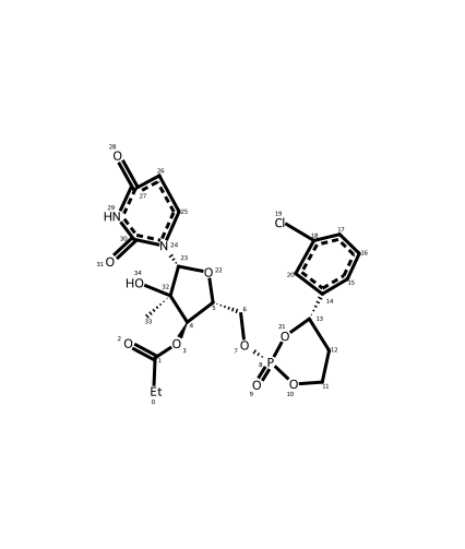 CCC(=O)O[C@@H]1[C@@H](CO[P@@]2(=O)OCC[C@@H](c3cccc(Cl)c3)O2)O[C@@H](n2ccc(=O)[nH]c2=O)[C@]1(C)O